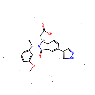 COc1cccc([C@@H](C)N2C(=O)c3cc(-c4cn[nH]c4)ccc3[C@H]2CC(=O)O)c1